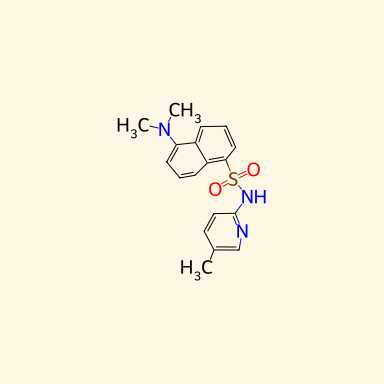 Cc1ccc(NS(=O)(=O)c2cccc3c(N(C)C)cccc23)nc1